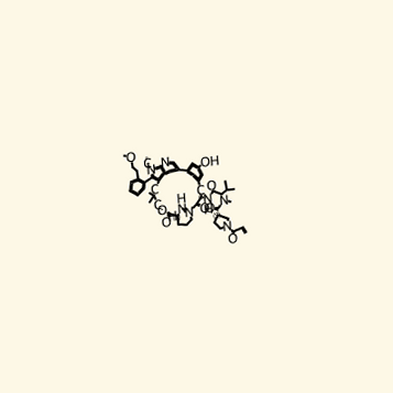 C=CC(=O)N1CC[C@H](C(=O)N(C)C(C(=O)N[C@H]2Cc3cc(O)cc(c3)-c3cnc4c(c3)c(c(-c3ccccc3CCOC)n4CC)CC(C)(C)COC(=O)[C@@H]3CCCN(N3)C2=O)C(C)C)C1